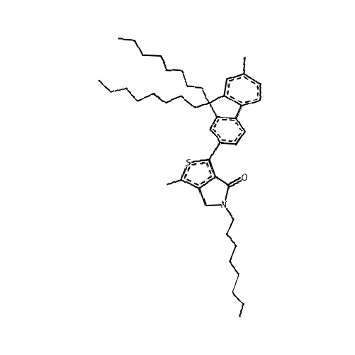 CCCCCCCCN1Cc2c(C)sc(-c3ccc4c(c3)C(CCCCCCCC)(CCCCCCCC)c3cc(C)ccc3-4)c2C1=O